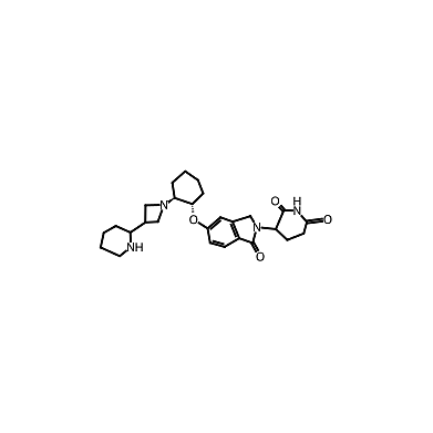 O=C1CCC(N2Cc3cc(O[C@H]4CCCC[C@@H]4N4CC(C5CCCCN5)C4)ccc3C2=O)C(=O)N1